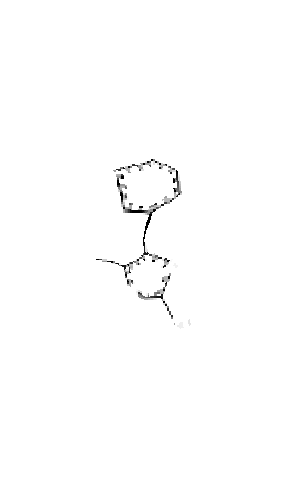 Cc1sc([NH])nc1-c1ccccc1